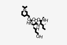 CC[C@@H](C)[C@H](NC(=O)[C@H](CCCCO)NC(=O)OCC1CCCN(C(C)C)C1)C(=O)NC